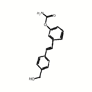 NC(=O)Oc1cccc(C=Cc2ccc(CO)cc2)c1